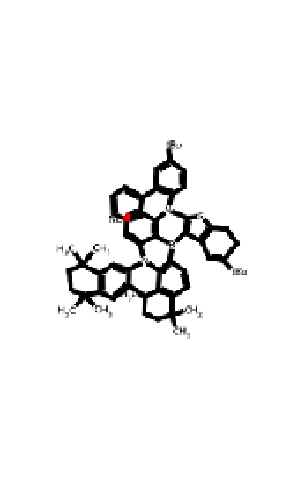 CC(C)(C)C1=Cc2c(sc3c2B2c4ccc5c6c4N(c4cc7c(cc4C6(C)CCC5(C)C)C(C)(C)CCC7(C)C)c4cc(C#N)cc(c42)N3c2ccc(C(C)(C)C)cc2-c2ccccc2)CC1